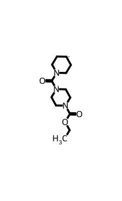 CCOC(=O)N1CCN(C(=O)N2CC[CH]CC2)CC1